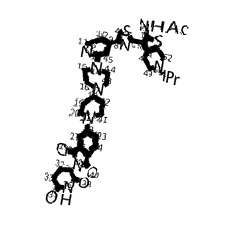 CC(=O)Nc1sc2c(c1-c1nc(-c3ccnc(N4CCN(C5CCN(c6ccc7c(c6)C(=O)N(C6CCC(=O)NC6=O)C7=O)CC5)CC4)c3)cs1)CCN(C(C)C)C2